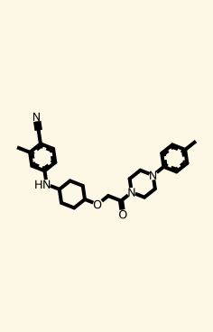 Cc1ccc(N2CCN(C(=O)COC3CCC(Nc4ccc(C#N)c(C)c4)CC3)CC2)cc1